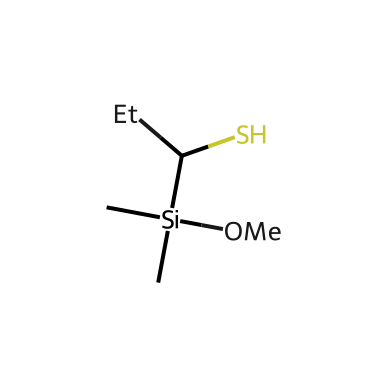 CCC(S)[Si](C)(C)OC